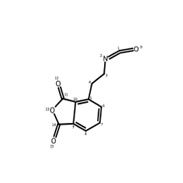 O=C=NCCc1cccc2c1C(=O)OC2=O